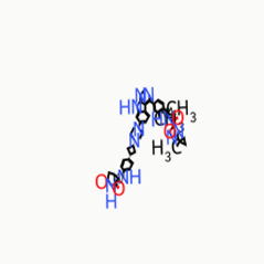 Cc1cc(-c2ncnc3[nH]c4cc(N5CCN([C@H]6C[C@@H](c7ccc(N[C@H]8CCC(=O)NC8=O)cc7)C6)CC5)ccc4c23)ccc1[C@@H](C)NC(=O)c1nc(C2(C)CC2)no1